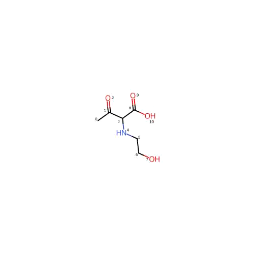 CC(=O)C(NCCO)C(=O)O